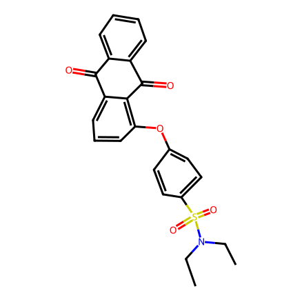 CCN(CC)S(=O)(=O)c1ccc(Oc2cccc3c2C(=O)c2ccccc2C3=O)cc1